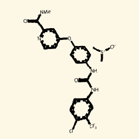 CNC(=O)c1cc(Oc2ccc(NC(=O)Nc3ccc(Cl)c(C(F)(F)F)c3)cc2)ccn1.C[S+](C)[O-]